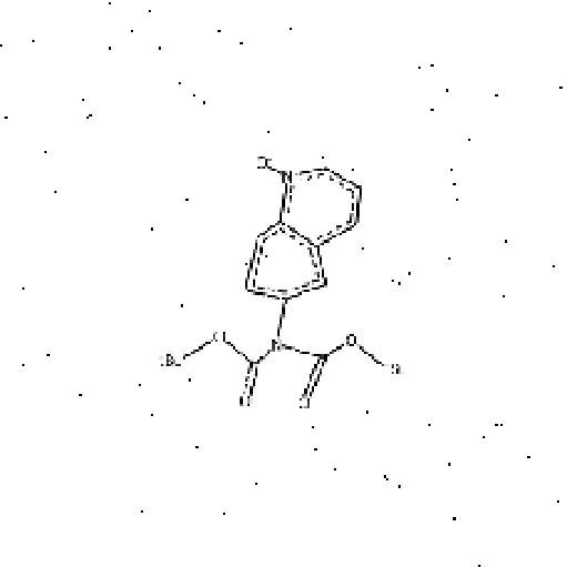 CC(C)(C)OC(=O)N(C(=O)OC(C)(C)C)c1ccc2c(ccc[n+]2[O-])c1